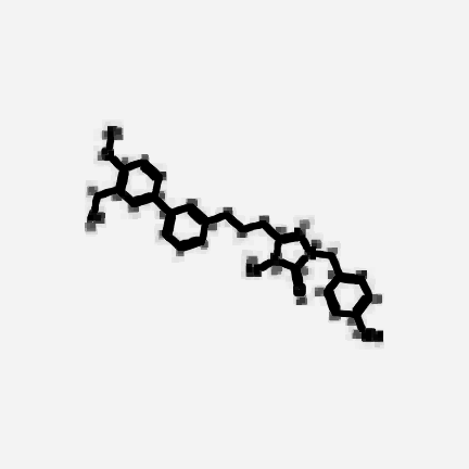 CCOc1ccc(-c2cccc(CCCc3nn(Cc4ccc(C(C)(C)C)cc4)c(=O)n3CC)c2)cc1CC(C)=O